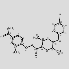 Cc1cc(C(N)=O)ccc1OCC(=O)N1CC(C)N(Cc2ccc(F)cc2)CC1C